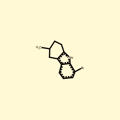 CC1CCc2[nH]c3c(Br)cccc3c2C1